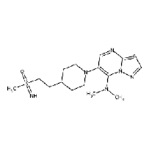 CN(C)c1c(N2CCC(CCS(C)(=N)=O)CC2)cnc2ncnn12